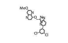 COc1cnc2c(OCc3nnc4ccc(-c5cc(Cl)cc(Cl)c5)nn34)ccnc2c1